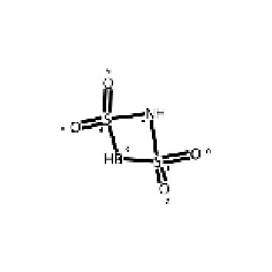 O=S1(=O)BS(=O)(=O)N1